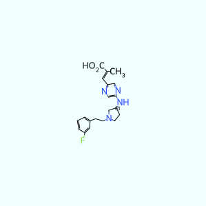 CC(=Cc1cnc(N[C@@H]2CCN(CCc3cccc(F)c3)C2)cn1)C(=O)O